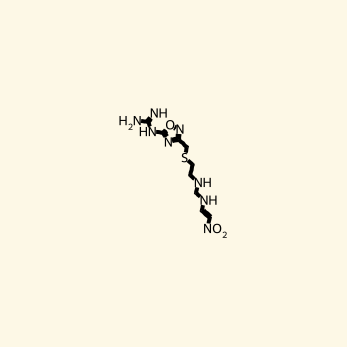 N=C(N)Nc1nc(CSCCNCN/C=C/[N+](=O)[O-])no1